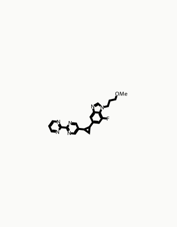 COCCCn1cnc2cc(C3CC3c3cnc(-c4ncccn4)nc3)cc(F)c21